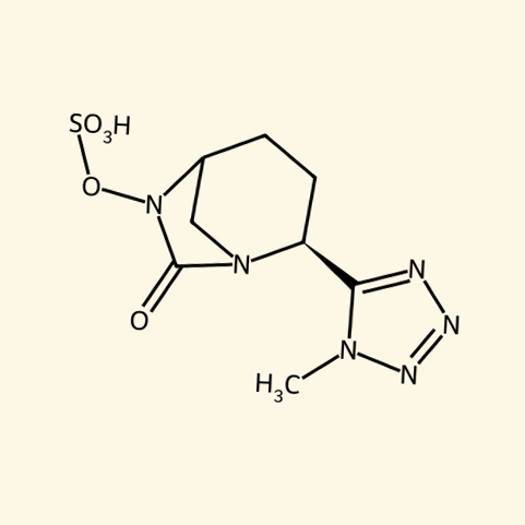 Cn1nnnc1[C@@H]1CCC2CN1C(=O)N2OS(=O)(=O)O